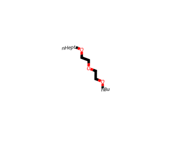 CCCCCCCOCCOCCOCCCC